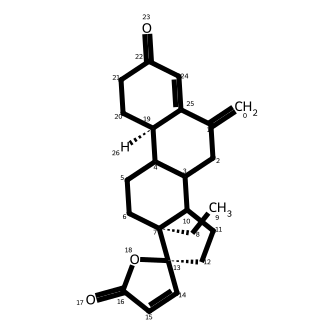 C=C1CC2C(CC[C@@]3(CC)C2CC[C@@]32C=CC(=O)O2)[C@H]2CCC(=O)C=C12